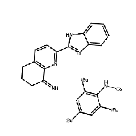 CC(C)(C)c1cc(C(C)(C)C)c([NH][Co])c(C(C)(C)C)c1.N=C1CCCc2ccc(-c3nc4ccccc4[nH]3)nc21